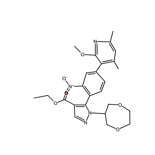 CCOC(=O)c1cnn(C2COCCOC2)c1-c1ccc(-c2c(C)cc(C)nc2OC)cc1[N+](=O)[O-]